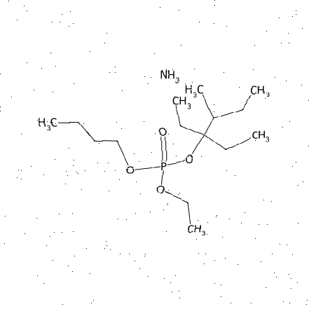 CCCCOP(=O)(OCC)OC(CC)(CC)C(C)CC.N